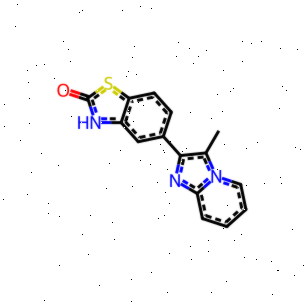 Cc1c(-c2ccc3sc(=O)[nH]c3c2)nc2ccccn12